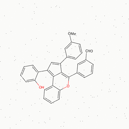 COc1cccc(-c2cc(-c3ccccc3O)c3c4ccccc4oc(-c4cccc(C=O)c4)c2-3)c1